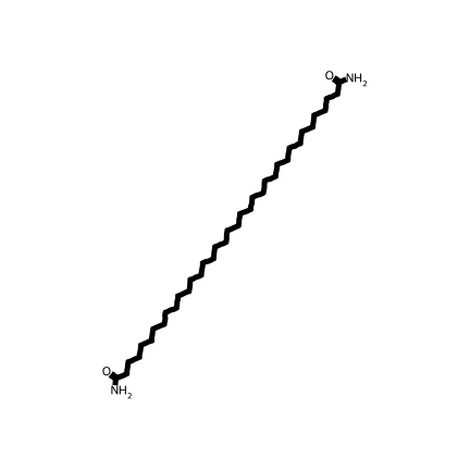 NC(=O)CCCCCCCCCCCCCCCCCCCCCCCCCCCCCCCCCCCC(N)=O